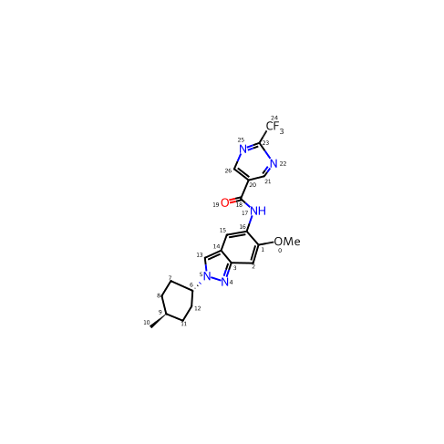 COc1cc2nn([C@H]3CC[C@H](C)CC3)cc2cc1NC(=O)c1cnc(C(F)(F)F)nc1